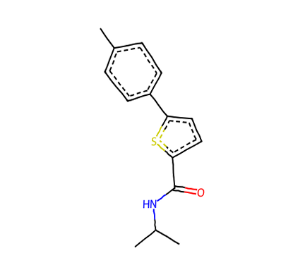 Cc1ccc(-c2ccc(C(=O)NC(C)C)s2)cc1